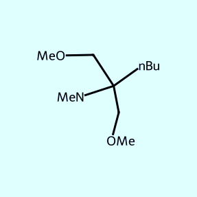 CCCCC(COC)(COC)NC